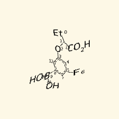 CCC(Oc1cc(F)cc(B(O)O)c1)C(=O)O